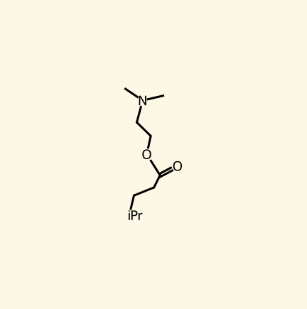 CC(C)CCC(=O)OCCN(C)C